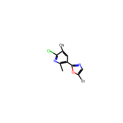 CCc1cnc(-c2cc(C#N)c(Cl)nc2C)o1